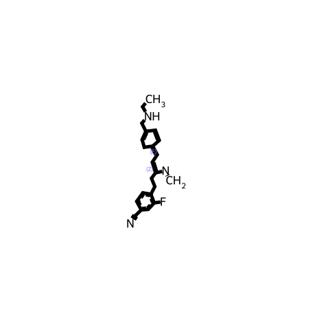 C=N/C(=C\C=C1\C=CC(CNCC)=CC1)CCc1ccc(C#N)cc1F